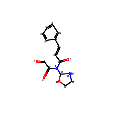 O=[C]C(=O)N(C(=O)C=Cc1ccccc1)C1NCCO1